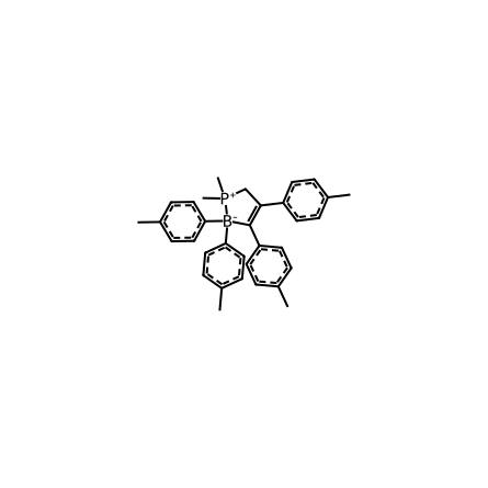 Cc1ccc(C2=C(c3ccc(C)cc3)[B-](c3ccc(C)cc3)(c3ccc(C)cc3)[P+](C)(C)C2)cc1